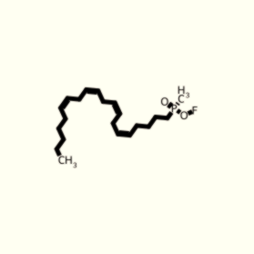 CCCCC/C=C\C/C=C\C/C=C\C/C=C\CCCCP(C)(=O)OF